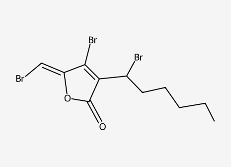 CCCCCC(Br)C1=C(Br)/C(=C/Br)OC1=O